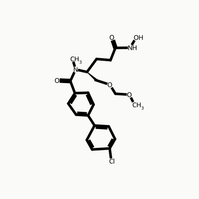 COCOC[C@H](CCC(=O)NO)N(C)C(=O)c1ccc(-c2ccc(Cl)cc2)cc1